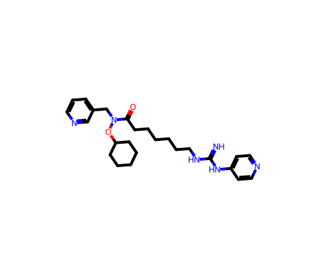 N=C(NCCCCCCC(=O)N(Cc1cccnc1)OC1CCCCC1)Nc1ccncc1